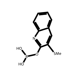 CSc1cc2ccccc2nc1OB(O)O